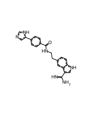 N=C(N)c1c[nH]c2ccc(CCNC(=O)c3ccc(-c4cnc[nH]4)cc3)cc12